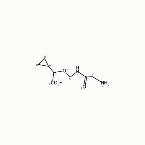 NCC(=O)NCOC(C(=O)O)C1CC1